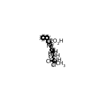 Cc1[nH]c(C(=O)N[C@H]2[C@@H]3CN(c4nc(Cc5cccc6ccccc56)c(C(=O)O)s4)C[C@@H]32)c(Cl)c1Cl